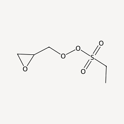 CCS(=O)(=O)OOCC1CO1